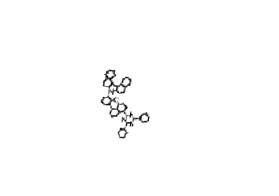 c1ccc(-c2nc(-c3ccccc3)nc(-c3ccc4c5c(cccc35)-c3cccc(-n5c6ccc7ccccc7c6c6c7ccccc7ccc65)c3O4)n2)cc1